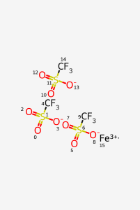 O=S(=O)([O-])C(F)(F)F.O=S(=O)([O-])C(F)(F)F.O=S(=O)([O-])C(F)(F)F.[Fe+3]